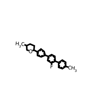 Cc1ccc(-c2ccc(-c3ccc(C4CCC(C)CO4)cc3)cc2F)cc1